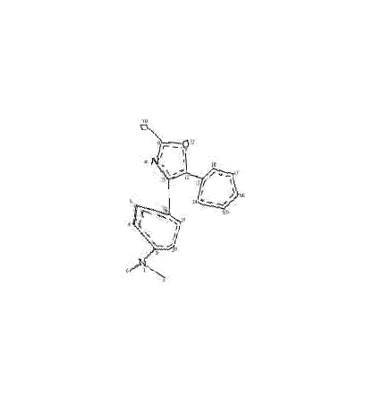 CN(C)c1ccc(-c2nc(Cl)oc2-c2ccccc2)cc1